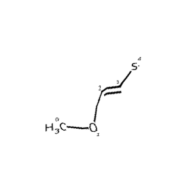 CO/C=C/[S]